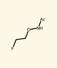 CC(=O)NOCCF